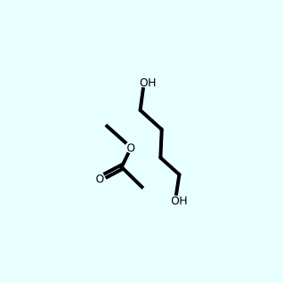 COC(C)=O.OCCCCO